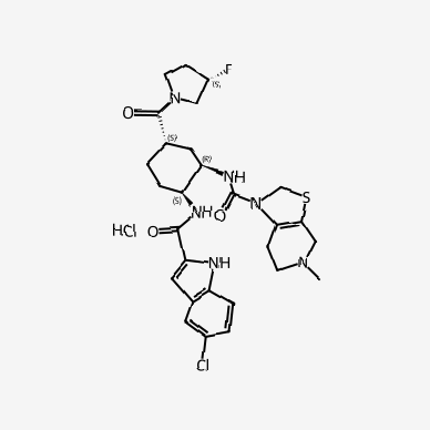 CN1CCC2=C(C1)SCN2C(=O)N[C@@H]1C[C@@H](C(=O)N2CC[C@H](F)C2)CC[C@@H]1NC(=O)c1cc2cc(Cl)ccc2[nH]1.Cl